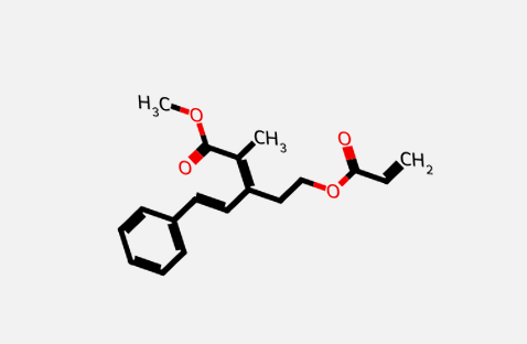 C=CC(=O)OCCC(C=Cc1ccccc1)=C(C)C(=O)OC